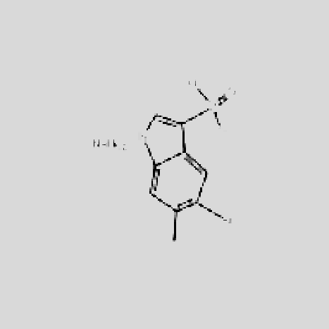 O=P(O)(O)c1c[nH]c2cc(Cl)c(Br)cc12.[NaH].[NaH]